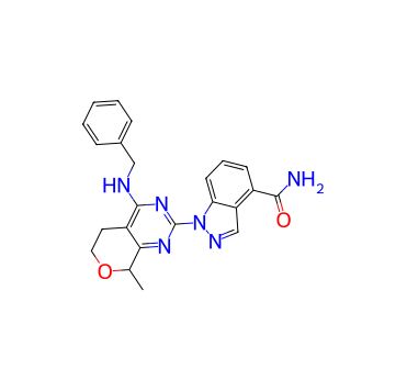 CC1OCCc2c(NCc3ccccc3)nc(-n3ncc4c(C(N)=O)cccc43)nc21